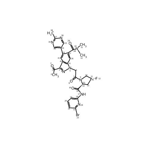 CC(=O)c1nn(CC(=O)N2C[C@H](F)C[C@H]2C(=O)Nc2cccc(Br)n2)c2cc(C(=O)N(C)C)c(-c3cnc(C)nc3)cc12